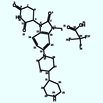 Cn1c(=O)n(C2CCC(=O)NC2=O)c2ccc(N3CCC(C4CCNCC4)CC3)cc21.O=C(O)C(F)(F)F